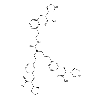 O=C(O)[C@@H](Cc1cccc(CCNC(=O)N(CCOc2cccc(C[C@H](C(=O)O)[C@H]3CCNC3)c2)CCc2cccc(C[C@H](C(=O)O)[C@H]3CCNC3)c2)c1)[C@H]1CCNC1